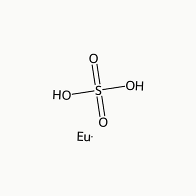 O=S(=O)(O)O.[Eu]